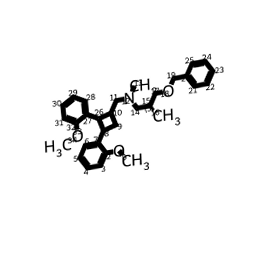 COc1ccccc1C1CC(CN(C)C[C@H](C)COCc2ccccc2)C1c1ccccc1OC